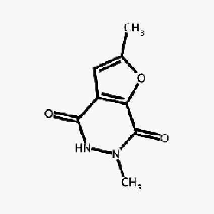 Cc1cc2c(=O)[nH]n(C)c(=O)c2o1